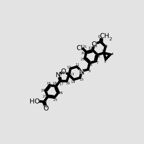 C=C1CC2(CC2)c2cc(CN3CCC4(CC3)CC(c3ccc(C(=O)O)cc3)=NO4)cc(Cl)c2O1